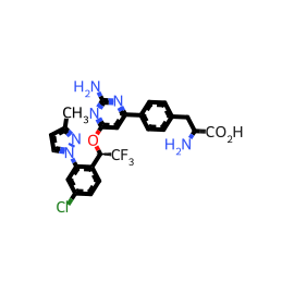 Cc1ccn(-c2cc(Cl)ccc2[C@@H](Oc2cc(-c3ccc(CC(N)C(=O)O)cc3)nc(N)n2)C(F)(F)F)n1